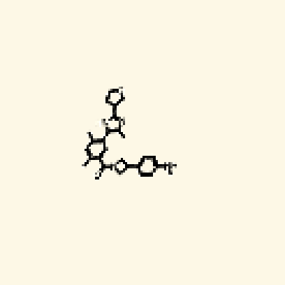 CNc1ccc(C2CN(C(=O)c3cc(-c4[nH]c(C5CCOC5)nc4C)c(C)cc3C)C2)cc1